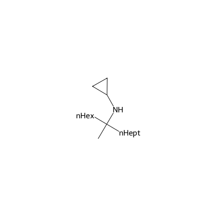 CCCCCCCC(C)(CCCCCC)NC1CC1